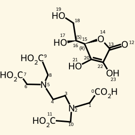 O=C(O)CN(CCN(CC(=O)O)CC(=O)O)CC(=O)O.O=C1O[C@H]([C@@H](O)CO)C(O)=C1O